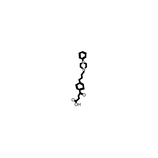 O=C(O)CCC(=O)c1ccc(CCCCN2CCN(c3ccccc3)CC2)cc1